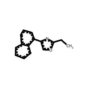 CCc1nc(-c2cccc3ccccc23)co1